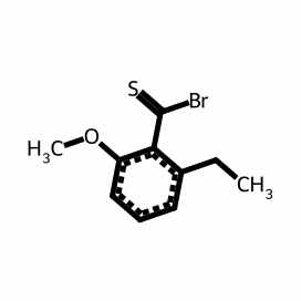 CCc1cccc(OC)c1C(=S)Br